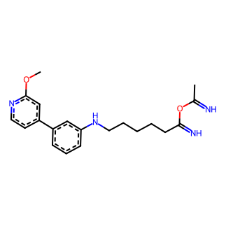 COc1cc(-c2cccc(NCCCCCC(=N)OC(C)=N)c2)ccn1